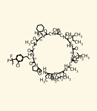 CCC(C)[C@@H]1NC(=O)[C@H](CC(C)C)N(C)C(=O)C[C@@H](C)NC(=O)[C@H](C(C)C)N(C)C(=O)[C@](C)(CC)NC(=O)[C@@H]2CCCN2C(=O)[C@H](CCc2ccc(C(F)(F)F)c(Cl)c2)NC(=O)CN(C)C(=O)[C@H](CC2CCCCC2)N(C)C(=O)CN(C)C(=O)CN(C)C1=O